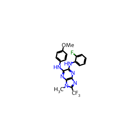 COc1ccc(Nc2nc3c(nc2Nc2ccccc2F)nc(C(F)(F)F)n3C)cc1